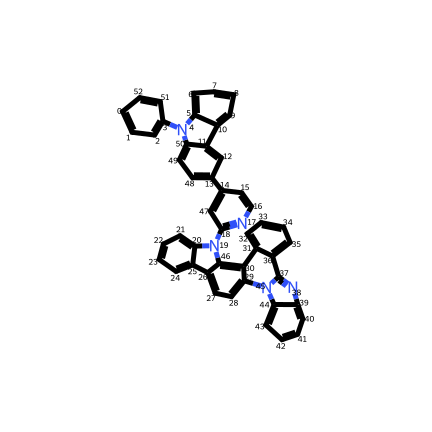 c1ccc(-n2c3ccccc3c3cc(-c4ccnc(-n5c6ccccc6c6ccc7c(c8ccccc8c8nc9ccccc9n78)c65)c4)ccc32)cc1